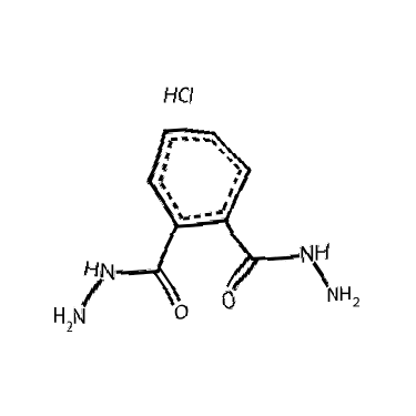 Cl.NNC(=O)c1ccccc1C(=O)NN